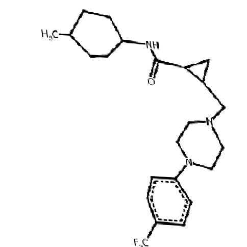 CC1CCC(NC(=O)[C@H]2CC2CN2CCN(c3ccc(C(F)(F)F)cc3)CC2)CC1